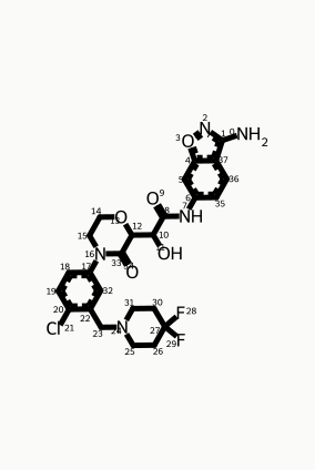 Nc1noc2cc(NC(=O)C(O)C3OCCN(c4ccc(Cl)c(CN5CCC(F)(F)CC5)c4)C3=O)ccc12